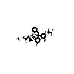 COC(=O)C(=O)C1(NC(=O)NC(Cc2ccccc2)(c2ccc(F)cc2)c2cc(F)cc(OC(F)(F)C(F)F)c2)CC1